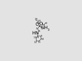 CCOC([SiH3])(CCNC1CCCCC1)OCC